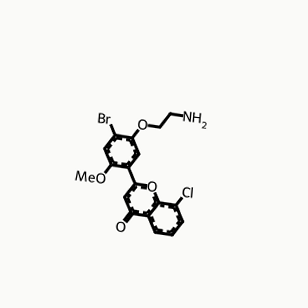 COc1cc(Br)c(OCCN)cc1-c1cc(=O)c2cccc(Cl)c2o1